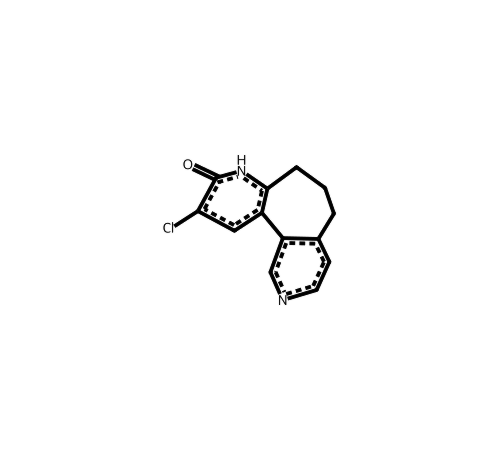 O=c1[nH]c2c(cc1Cl)-c1cnccc1CCC2